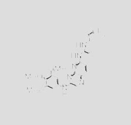 C=CCNC(=S)Nc1ccc2ncc(Nc3cc(OC)c(OC)c(OC)c3)nc2n1